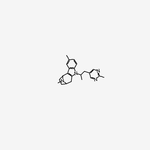 Cc1ccc2c(c1)c1c(n2C(C)Cc2cnc(C)nc2)CC2CCC1N2C